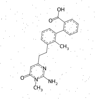 Cc1c(CCc2cc(=O)n(C)c(N)n2)cccc1-c1ccccc1C(=O)O